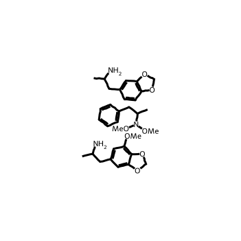 CC(N)Cc1ccc2c(c1)OCO2.CON(OC)C(C)Cc1ccccc1.COc1cc(CC(C)N)cc2c1OCO2